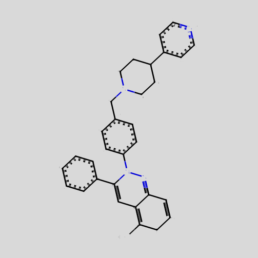 O=CC1=C2C=C(c3ccccc3)N(c3ccc(CN4CCC(c5ccncc5)CC4)cc3)N=C2C=CC1